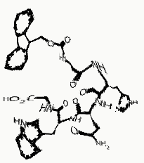 NC(=O)C[C@H](NC(=O)[C@H](Cc1c[nH]cn1)NC(=O)CNC(=O)OCC1c2ccccc2-c2ccccc21)C(=O)N[C@@H](Cc1c[nH]c2ccccc12)C(=O)NCC(=O)O